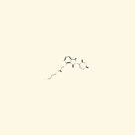 CC(C)CCCNC(=O)COc1cccc2c1C(=O)N(C1CCC(=O)NC1=O)C2=O